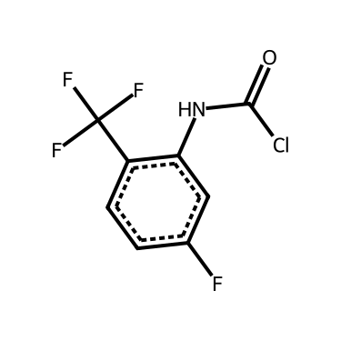 O=C(Cl)Nc1cc(F)ccc1C(F)(F)F